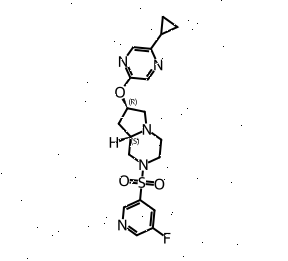 O=S(=O)(c1cncc(F)c1)N1CCN2C[C@H](Oc3cnc(C4CC4)cn3)C[C@H]2C1